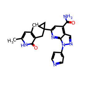 Cc1cc(C)c(CC2(c3cc(C(N)=O)c4cnn(-c5ccncc5)c4n3)CC2)c(=O)[nH]1